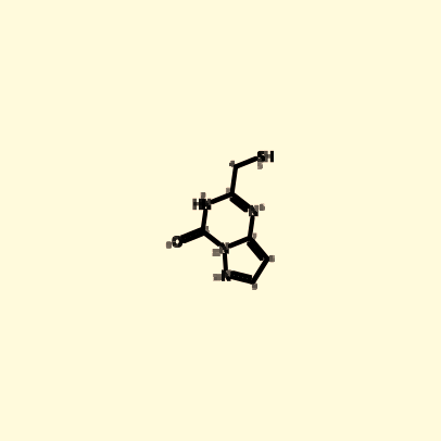 O=c1[nH]c(CS)nc2ccnn12